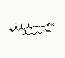 C=CC(=O)OC(C)N(C(C)CCCCCCCCCCCCCCC)C(C)CCCCCCCCCCCCCCC